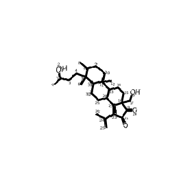 CC(O)CCC1(C)C(C)CCC2(C)C3CCC4(CO)C(=O)C(=O)C(C(C)C)=C4C3CCC12